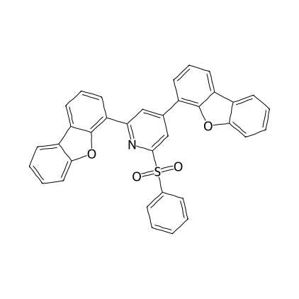 O=S(=O)(c1ccccc1)c1cc(-c2cccc3c2oc2ccccc23)cc(-c2cccc3c2oc2ccccc23)n1